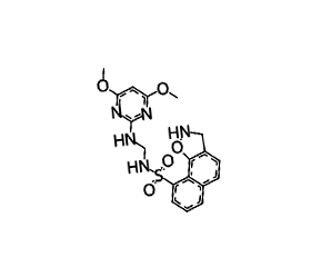 COc1cc(OC)nc(NCNS(=O)(=O)c2cccc3ccc4c(c23)ONC4)n1